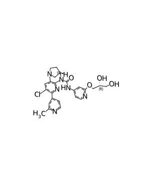 Cc1cc(-c2nc3c(cc2Cl)N2CC[C@@H](C2)N3C(=O)Nc2ccnc(OC[C@H](O)CO)c2)ccn1